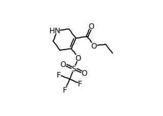 CCOC(=O)C1=C(OS(=O)(=O)C(F)(F)F)CCNC1